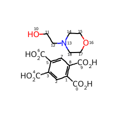 O=C(O)c1cc(C(=O)O)c(C(=O)O)cc1C(=O)O.OCCN1CCOCC1